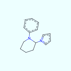 [c]1cccc(N2CCCCC2n2cccc2)c1